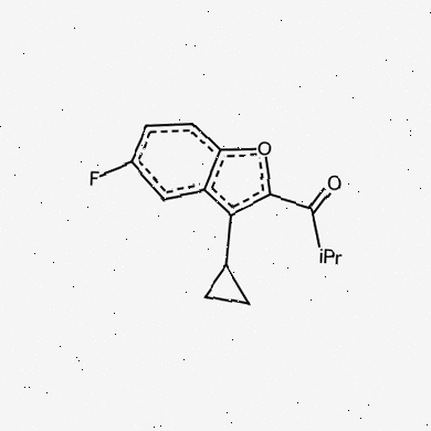 CC(C)C(=O)c1oc2ccc(F)cc2c1C1CC1